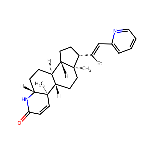 CC/C(=C\c1ccccn1)[C@H]1CC[C@H]2[C@@H]3CC[C@H]4NC(=O)C=C[C@]4(C)[C@H]3CC[C@]12C